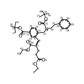 CCOC(=O)CCC(=Cc1cc(C(=O)OC(C)(C)C)ccc1CN(CCc1ccccc1)C(=O)OC(C)(C)C)C(=O)OCC